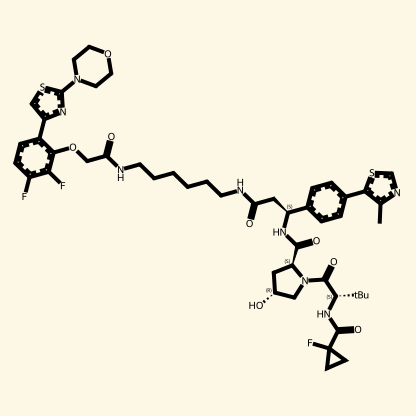 Cc1ncsc1-c1ccc([C@H](CC(=O)NCCCCCCNC(=O)COc2c(-c3csc(N4CCOCC4)n3)ccc(F)c2F)NC(=O)[C@@H]2C[C@@H](O)CN2C(=O)[C@@H](NC(=O)C2(F)CC2)C(C)(C)C)cc1